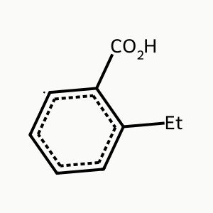 CCc1ccc[c]c1C(=O)O